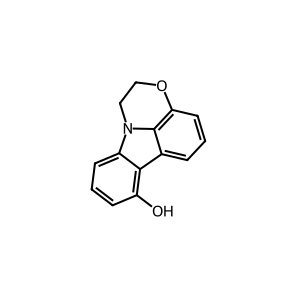 Oc1cccc2c1c1cccc3c1n2CCO3